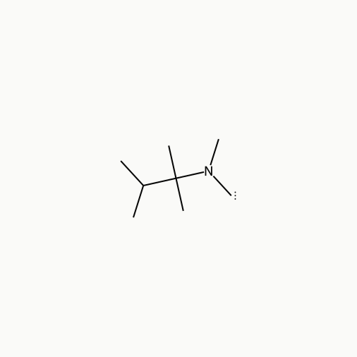 [C]N(C)C(C)(C)C(C)C